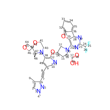 Cc1cn(C)nc1C#Cc1cnc(O[C@H]2C[C@@H](C(=O)O)N(c3nc(C(F)F)nc4c3oc3ccccc34)C2)c(N2CCOC3(COC3)[C@@H]2C)c1